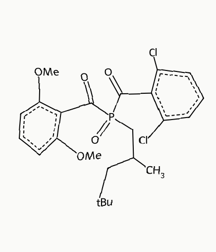 COc1cccc(OC)c1C(=O)P(=O)(CC(C)CC(C)(C)C)C(=O)c1c(Cl)cccc1Cl